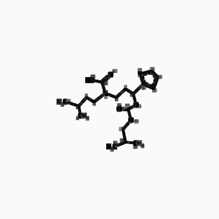 CC(C)CCN(CCC(OC(=O)OCC(C)C)c1cccs1)C(=O)O